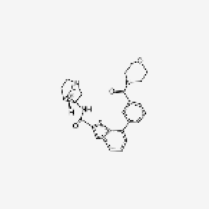 O=C(N[C@H]1CN2CCC1CC2)c1cc2cccc(-c3cccc(C(=O)N4CCOCC4)c3)c2s1